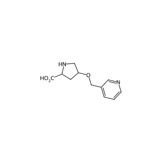 O=C(O)C1CC(OCc2cccnc2)CN1